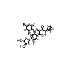 O=C(NC12CCC(C1)C2)c1cn(-c2c(F)cc(F)cc2F)c2nc(N3C[C@@H](O)[C@H](O)C3)c(F)cc2c1=O